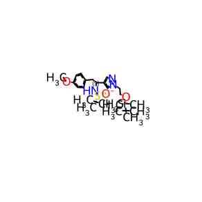 COc1ccc(C[C@H](N[S+]([O-])C(C)(C)C)c2cnn(CCO[Si](C)(C)C(C)(C)C)c2)cc1